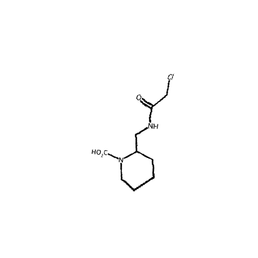 O=C(CCl)NCC1CCCCN1C(=O)O